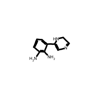 Nc1cccc(C2=CN=CCN2)c1N